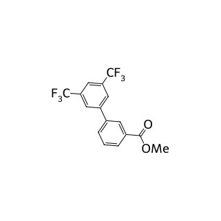 COC(=O)c1cccc(-c2cc(C(F)(F)F)cc(C(F)(F)F)c2)c1